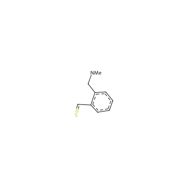 CNCc1ccccc1C=S